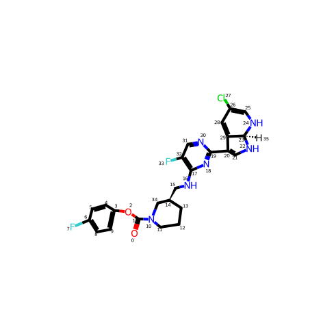 O=C(Oc1ccc(F)cc1)N1CCC[C@H](CNc2nc(C3=CN[C@@H]4NC=C(Cl)C=C34)ncc2F)C1